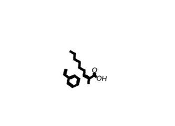 C=Cc1ccccc1.CCCCCCC=C(C)C(=O)O